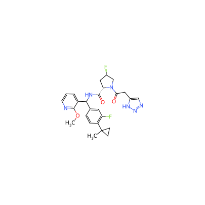 COc1ncccc1C(NC(=O)[C@@H]1C[C@@H](F)CN1C(=O)Cc1cnn[nH]1)c1ccc(C2(C)CC2)c(F)c1